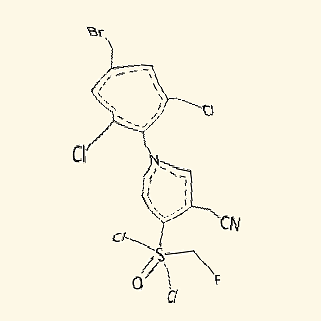 N#Cc1cn(-c2c(Cl)cc(Br)cc2Cl)cc1S(=O)(Cl)(Cl)CF